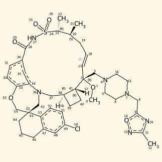 CO[C@@]1(CN2CCN(Cc3nc(C)no3)CC2)/C=C/C[C@H](C)[C@@H](C)S(=O)(=O)NC(=O)c2ccc3c(c2)N(C[C@@H]2CC[C@H]21)C[C@@]1(CCCc2cc(Cl)ccc21)CO3